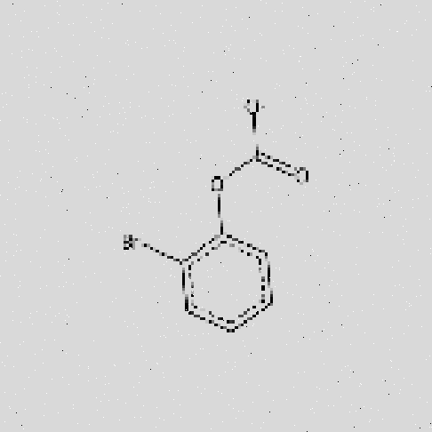 [O]C(=O)Oc1ccccc1Br